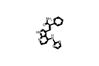 NC(=O)/C(=C\c1c[nH]c2nccc(Nc3nccs3)c12)c1ccccc1